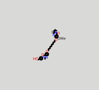 COc1cc2c(cc1OCCCCCCCCCCOc1ccc3nc(C)n(-c4ccc(CO)cc4)c(=O)c3c1)N=C[C@@H]1CCCN1C2=O